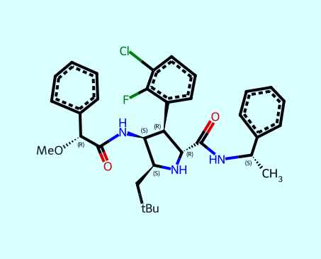 CO[C@@H](C(=O)N[C@H]1[C@@H](c2cccc(Cl)c2F)[C@H](C(=O)N[C@@H](C)c2ccccc2)N[C@H]1CC(C)(C)C)c1ccccc1